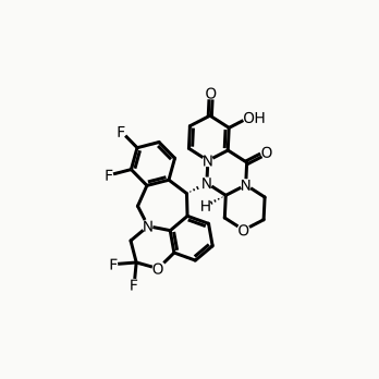 O=C1c2c(O)c(=O)ccn2N([C@H]2c3ccc(F)c(F)c3CN3CC(F)(F)Oc4cccc2c43)[C@@H]2COCCN12